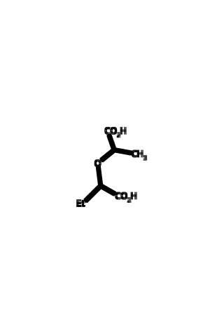 CCC(OC(C)C(=O)O)C(=O)O